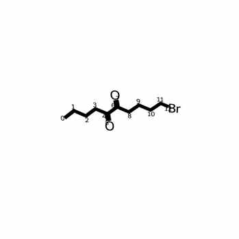 CCCCC(=O)C(=O)CCCCBr